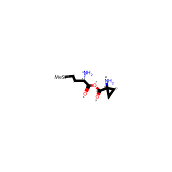 CSCC[C@H](N)C(=O)OC(=O)C1(N)CC1